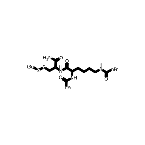 CCCC(=O)NCCCCC(NC(=O)CCC)C(=O)NC(CSSC(C)(C)C)C(N)=O